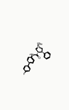 CC(C)(C)N1C[C@@H](C(=O)Nc2ccc(-c3ccc(F)cc3)cc2)[C@H](c2ccccc2)C1